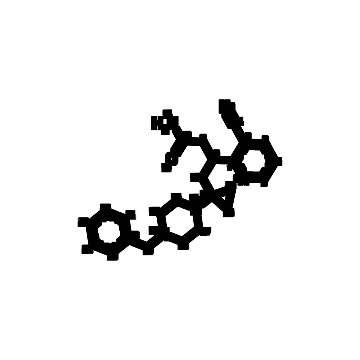 N#Cc1cccnc1C(CC(N)=O)CC1(N2CCN(Cc3ccccc3)CC2)CC1